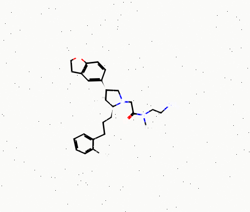 CCCCN(CCN)C(=O)CN1C[C@H](c2ccc3c(c2)CCO3)[C@@H](C(=O)O)[C@@H]1CCCc1ccccc1OC